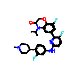 CC(C)N1C(=O)COc2c(F)cc(-c3nc(Nc4ccc(C5CCN(C)CC5)c(F)c4)ccc3F)cc21